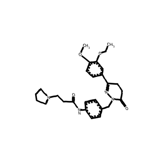 CCOc1cc(C2=NN(Cc3ccc(NC(=O)CCN4CCCC4)cc3)C(=O)CC2)ccc1OC